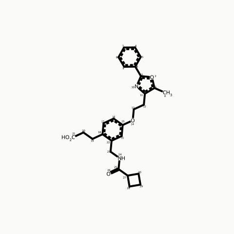 Cc1oc(-c2ccccc2)nc1CCOc1ccc(CCC(=O)O)c(CNC(=O)C2CCC2)c1